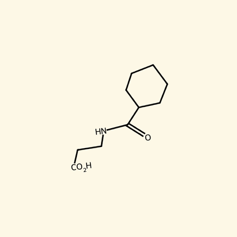 O=C(O)CCNC(=O)C1CCCCC1